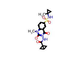 Cn1c(=O)n(NC(=O)C23CC2C3)c(=O)c2cc(S(=O)(=O)NC3(C)CC3)ccc21